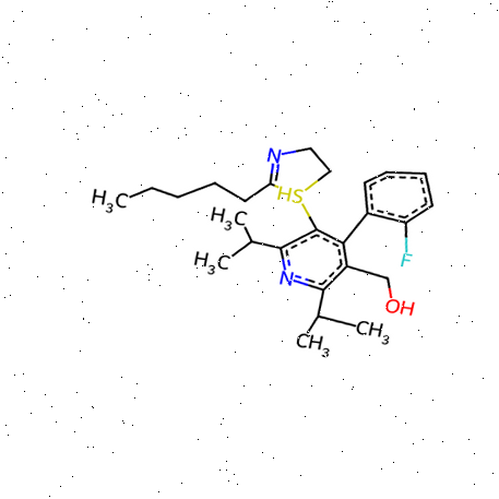 CCCCCC1=NCC[SH]1c1c(C(C)C)nc(C(C)C)c(CO)c1-c1ccccc1F